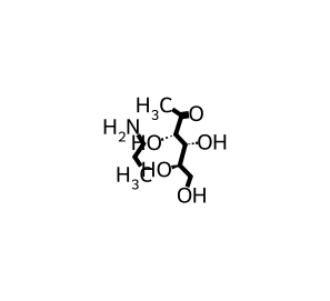 CC(=O)[C@@H](O)[C@H](O)[C@H](O)CO.CCCN